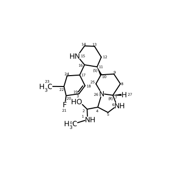 CNC(O)C1CN[C@H]2CCC([C@@H]3CCCNC3C3C=CC(F)C(C)C3)CN12